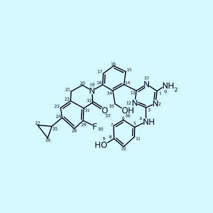 Nc1nc(Nc2ccc(O)cc2)nc(-c2cccc(N3CCc4cc(C5CC5)cc(F)c4C3=O)c2CO)n1